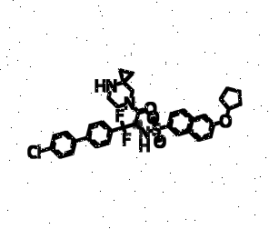 O=C([C@@H](NS(=O)(=O)c1ccc2cc(OC3CCCC3)ccc2c1)C(F)(F)c1ccc(-c2ccc(Cl)cc2)cc1)N1CCNC2(CC2)C1